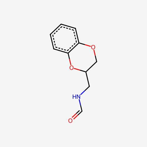 O=CNCC1COc2ccccc2O1